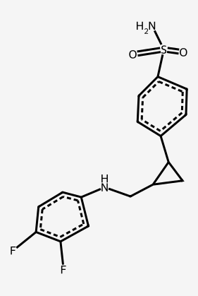 NS(=O)(=O)c1ccc(C2CC2CNc2ccc(F)c(F)c2)cc1